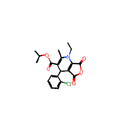 CCN1C(C)=C(C(=O)OC(C)C)C(c2ccccc2Cl)C2=C1C(=O)OC2=O